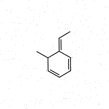 CC=C1[C]=CC=[C]C1C